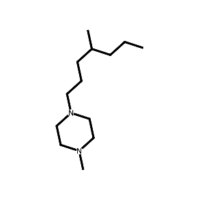 CCCC(C)CCCN1CCN(C)CC1